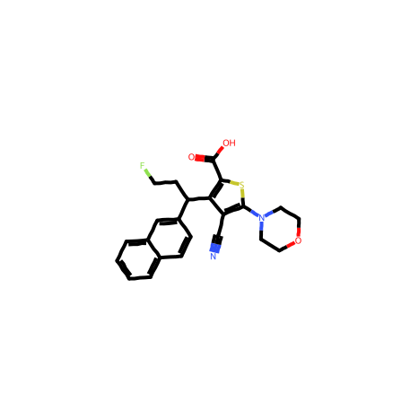 N#Cc1c(N2CCOCC2)sc(C(=O)O)c1C(CCF)c1ccc2ccccc2c1